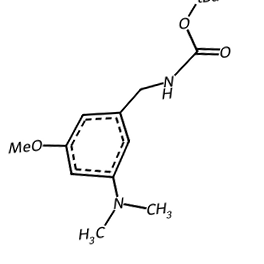 COc1cc(CNC(=O)OC(C)(C)C)cc(N(C)C)c1